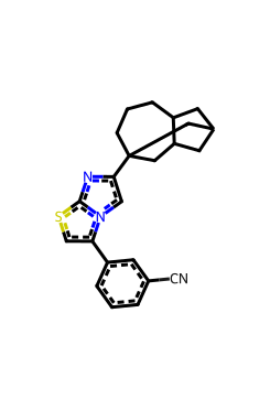 N#Cc1cccc(-c2csc3nc(C45CCCC6CC(CC6C4)C5)cn23)c1